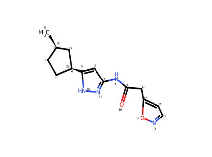 C[C@@H]1CC[C@H](c2cc(NC(=O)Cc3ccno3)n[nH]2)C1